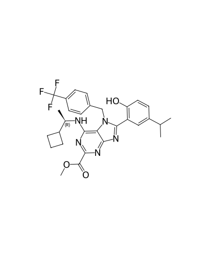 COC(=O)c1nc(N[C@H](C)C2CCC2)c2c(n1)nc(-c1cc(C(C)C)ccc1O)n2Cc1ccc(C(F)(F)F)cc1